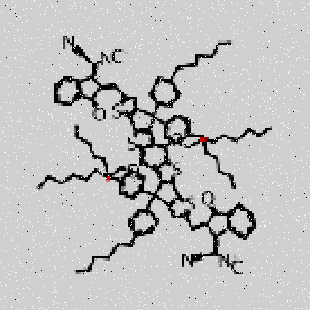 [C-]#[N+]/C(C#N)=C1\C(=C\c2cc3c(s2)-c2sc4c(OCCCCCCCC)c5c6c(sc5c(OCCCCCCCC)c4c2C3(c2ccc(CCCCCC)cc2)c2ccc(CCCCCC)cc2)-c2sc(/C=C3\C(=O)c4ccccc4\C3=C(\C#N)[N+]#[C-])cc2C6(c2ccc(CCCCCC)cc2)c2ccc(CCCCCC)cc2)C(=O)c2ccccc21